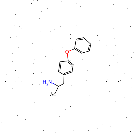 CC(=O)C(N)Cc1ccc(Oc2ccccc2)cc1